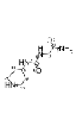 NC(=O)CNC(=O)NC1CCNCC1